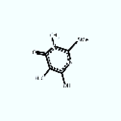 CSc1nc(O)c(C)c(=O)n1C